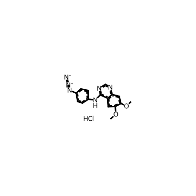 COc1cc2ncnc(Nc3ccc(N=[N+]=[N-])cc3)c2cc1OC.Cl